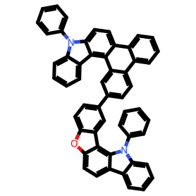 c1ccc(-n2c3ccccc3c3c4c(ccc32)c2ccccc2c2ccc(-c3ccc5oc6ccc7c8ccccc8n(-c8ccccc8)c7c6c5c3)cc24)cc1